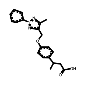 Cc1nn(-c2ccccc2)nc1COc1ccc(C(C)CC(=O)O)cc1